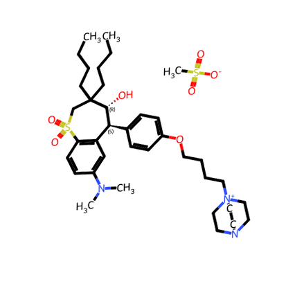 CCCCC1(CCCC)CS(=O)(=O)c2ccc(N(C)C)cc2[C@H](c2ccc(OCCCC[N+]34CCN(CC3)CC4)cc2)[C@H]1O.CS(=O)(=O)[O-]